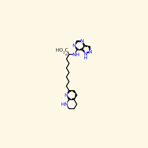 O=C(O)[C@H](CCCCCCCc1ccc2c(n1)NCCC2)Nc1ncnc2cn[nH]c12